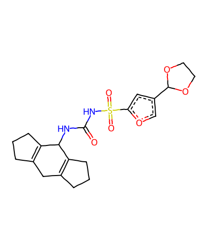 O=C(NC1C2=C(CCC2)CC2=C1CCC2)NS(=O)(=O)c1cc(C2OCCO2)co1